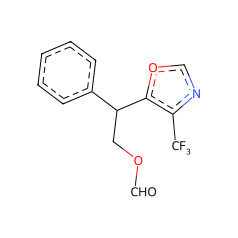 O=COCC(c1ccccc1)c1ocnc1C(F)(F)F